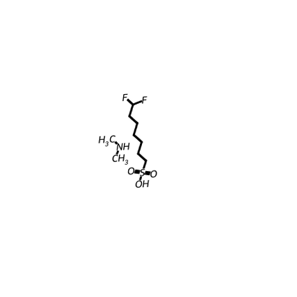 CNC.O=S(=O)(O)CCCCCCC(F)F